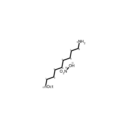 CCCCCCCCCCCCCCCCN.O=[N+]([O-])O